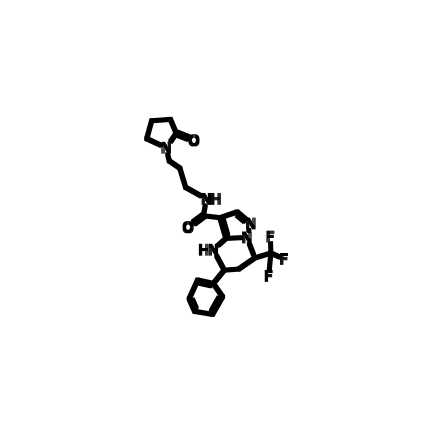 O=C(NCCCN1CCCC1=O)c1cnn2c1NC(c1ccccc1)CC2C(F)(F)F